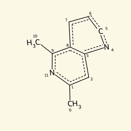 Cc1cc2ncccc2c(C)n1